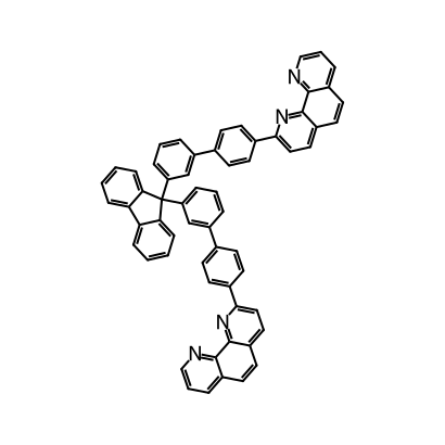 c1cc(-c2ccc(-c3ccc4ccc5cccnc5c4n3)cc2)cc(C2(c3cccc(-c4ccc(-c5ccc6ccc7cccnc7c6n5)cc4)c3)c3ccccc3-c3ccccc32)c1